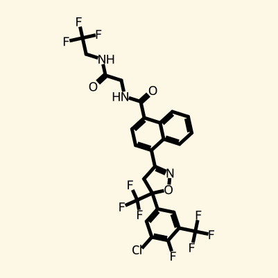 O=C(CNC(=O)c1ccc(C2=NOC(c3cc(Cl)c(F)c(C(F)(F)F)c3)(C(F)(F)F)C2)c2ccccc12)NCC(F)(F)F